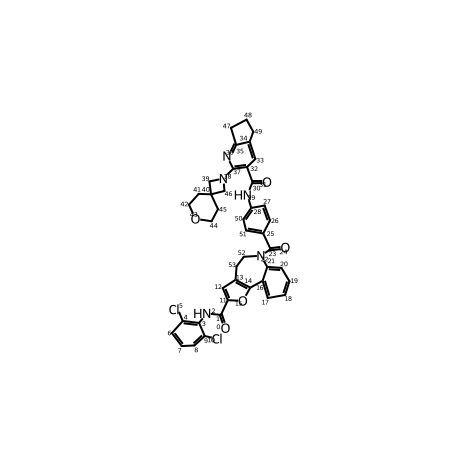 O=C(Nc1c(Cl)cccc1Cl)c1cc2c(o1)-c1ccccc1N(C(=O)c1ccc(NC(=O)c3cc4c(nc3N3CC5(CCOCC5)C3)CCC4)cc1)CC2